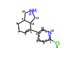 Clc1ccc(C2=CCCC3CNCC23)cn1